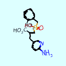 Nc1ccc(CC(CP(=O)(O)Cc2ccccc2[N+](=O)[O-])C(=O)O)cn1